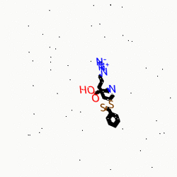 CC(CC(C#N)(CCCN=[N+]=[N-])C(=O)O)SC(=S)c1ccccc1